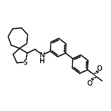 CS(=O)(=O)c1ccc(-c2cccc(NCC3SCCC34CCCCCC4)c2)cc1